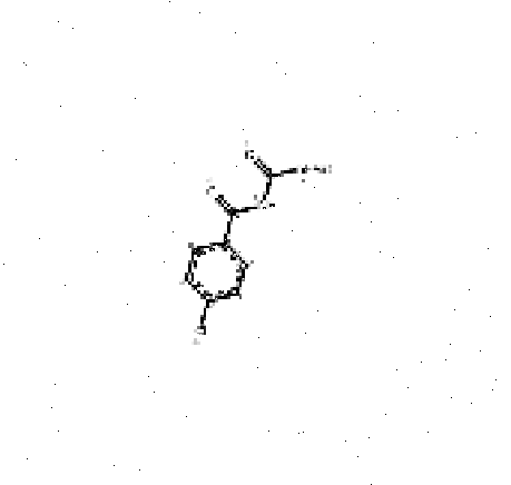 CCCCCC(=O)NC(=O)c1ccc(Cl)cc1